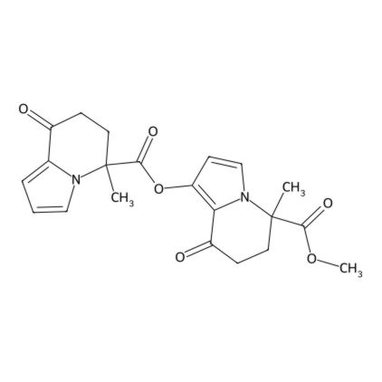 COC(=O)C1(C)CCC(=O)c2c(OC(=O)C3(C)CCC(=O)c4cccn43)ccn21